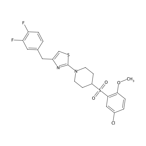 COc1ccc(Cl)cc1S(=O)(=O)C1CCN(c2nc(Cc3ccc(F)c(F)c3)cs2)CC1